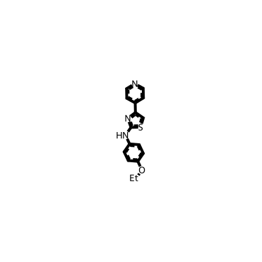 CCOc1ccc(Nc2nc(-c3ccncc3)cs2)cc1